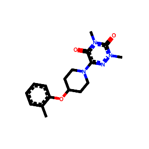 Cc1ccccc1OC1CCN(c2nn(C)c(=O)n(C)c2=O)CC1